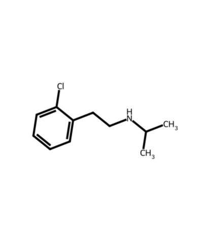 CC(C)NCCc1ccccc1Cl